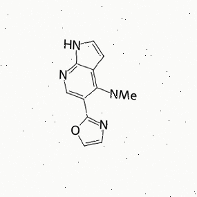 CNc1c(-c2ncco2)cnc2[nH]ccc12